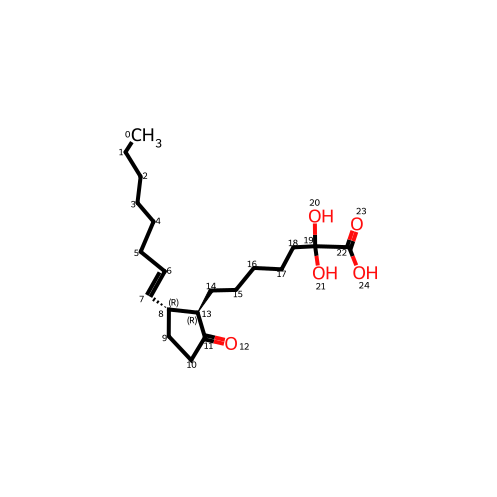 CCCCCCC=C[C@H]1CCC(=O)[C@@H]1CCCCCC(O)(O)C(=O)O